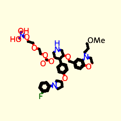 COCCCN1CCOc2ccc(COC3CNCC(OC(=O)OCCOCCON(O)O)C3c3ccc(OC4CCN(c5cccc(F)c5)C4)cc3)cc21